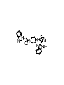 CN1CN(CC(=O)N2CCN(c3scnc3-c3nc4ccccc4[nH]3)CC2)c2ccccc21